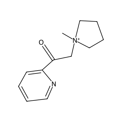 C[N+]1(CC(=O)c2ccccn2)CCCC1